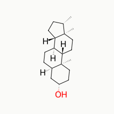 C[C@H]1CC[C@H]2[C@@H]3CC[C@@H]4C[C@@H](O)CC[C@]4(C)[C@H]3CC[C@]12C